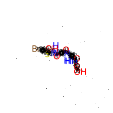 C/C(=N\NC(=O)c1ccc(C(=O)NCc2ccc(C(=O)NCCOCCO)cc2)cc1)c1csc(-c2ccc(Br)cc2)c1O